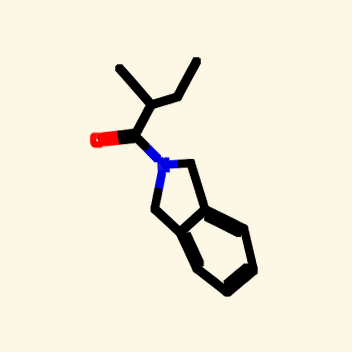 CCC(C)C(=O)N1Cc2ccccc2C1